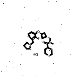 CN(C[C@H]1C[C@H](Oc2cccc(CN3CCCC3)c2F)C1)C(=O)C1CCOCC1.Cl